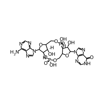 Nc1ncnc2c1ncn2C1OC2COP(=O)(O)[C@@H]3C(COP(=O)(O)O[C@@H]1[C@@H]2O)OC(n1cnc2c(=O)[nH]cnc21)[C@@H]3O